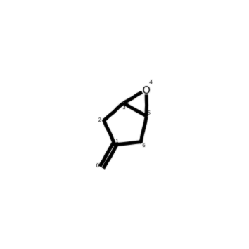 C=C1CC2OC2C1